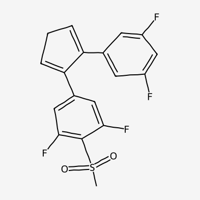 CS(=O)(=O)c1c(F)cc(C2=CCC=C2c2cc(F)cc(F)c2)cc1F